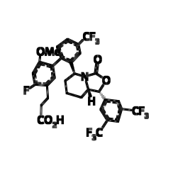 COc1cc(F)c(CCC(=O)O)cc1-c1ccc(C(F)(F)F)cc1[C@@H]1CCC[C@H]2[C@@H](c3cc(C(F)(F)F)cc(C(F)(F)F)c3)OC(=O)N12